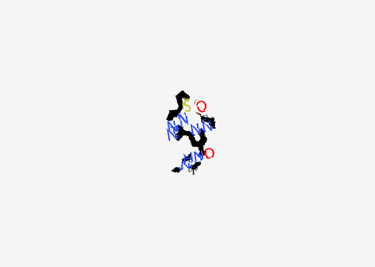 CCN(CC)[C@@H](C)CNC(=O)c1cc(-c2cnn3ccc(-c4cccs4)nc23)nc(N2CC[C@H]2COC)c1